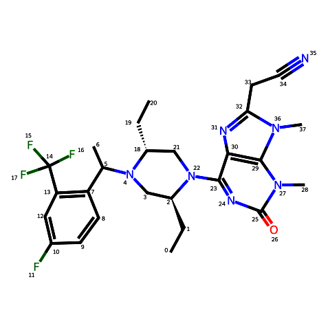 CC[C@H]1CN(C(C)c2ccc(F)cc2C(F)(F)F)[C@H](CC)CN1c1nc(=O)n(C)c2c1nc(CC#N)n2C